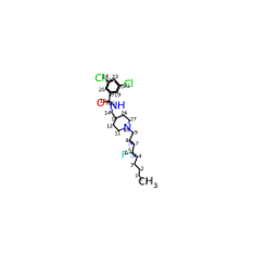 CCCC/C=C(F)/C=C/CN1CCC(CNC(=O)c2cc(Cl)cc(Cl)c2)CC1